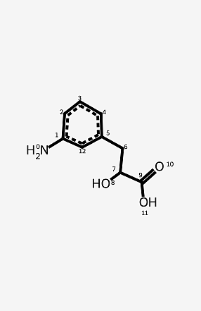 Nc1cccc(CC(O)C(=O)O)c1